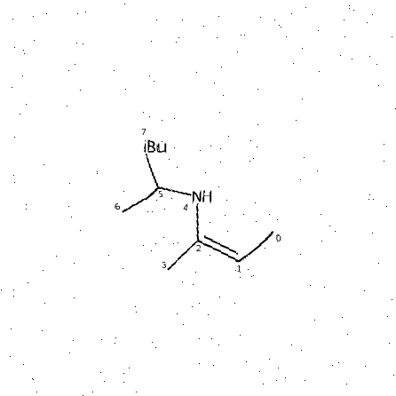 C/C=C(/C)NC(C)C(C)CC